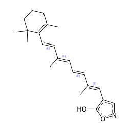 CC1=C(/C=C/C(C)=C/C=C/C(C)=C/c2cnoc2O)C(C)(C)CCC1